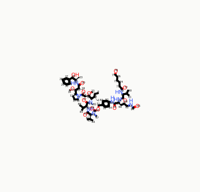 CC[C@H](C)[C@@H]([C@@H](CC(=O)N1CCC[C@H]1[C@H](OC)[C@@H](C)C(=O)N[C@H](C)[C@@H](O)c1ccccc1)OC)N(C)C(=O)[C@H](NC(=O)[C@H](C(C)C)N(C)C(=O)OCc1ccc(NC(=O)[C@H](CCCNC=O)NC(=O)C(NC(=O)CCCCC=O)C(C)C)cc1)C(C)C